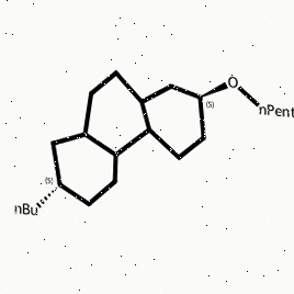 CCCCCO[C@H]1CCC2C(CCC3C[C@@H](CCCC)CCC32)C1